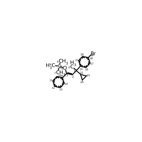 CC(C=C(O[Si](C)(C)C)c1ccccc1)(c1ccc(Br)cc1)C1CC1